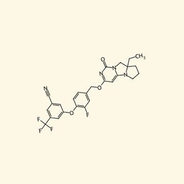 CCC12CCCN1c1cc(OCc3ccc(Oc4cc(C#N)cc(C(F)(F)F)c4)c(F)c3)nc(=O)n1C2